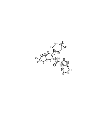 CC1(C)Cc2cc(NC(=O)c3cnn4cccnc34)c(N3CCCC(F)(F)CC3)cc2O1